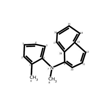 Cc1ccccc1N(C)c1cccc2ccccc12